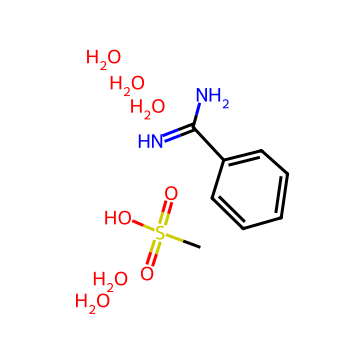 CS(=O)(=O)O.N=C(N)c1ccccc1.O.O.O.O.O